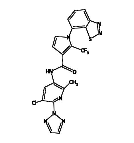 Cc1nc(-n2nccn2)c(Cl)cc1NC(=O)c1ccn(-c2cccc3nnsc23)c1C(F)(F)F